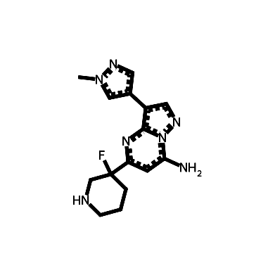 Cn1cc(-c2cnn3c(N)cc(C4(F)CCCNC4)nc23)cn1